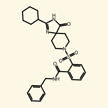 O=C(NCc1ccccc1)c1ccccc1S(=O)(=O)N1CCC2(CC1)N=C(C1CCCCC1)NC2=O